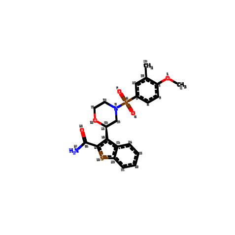 COc1ccc(S(=O)(=O)N2CCO[C@H](c3c(C(N)=O)sc4ccccc34)C2)cc1C